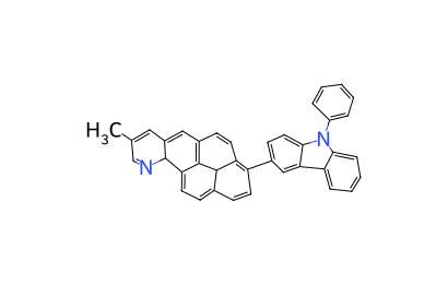 CC1=CC2=CC3=C4C(=CC=C5C=CC(c6ccc7c(c6)c6ccccc6n7-c6ccccc6)=C(C=C3)C54)C2N=C1